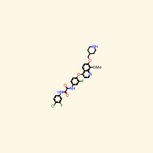 COc1c(OCC2CCNCC2)ccc2c(Oc3ccc(NC(=O)C(=O)Nc4ccc(Cl)c(F)c4)cc3F)ccnc12